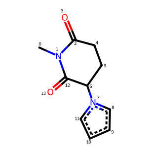 CN1C(=O)CCC(n2cccc2)C1=O